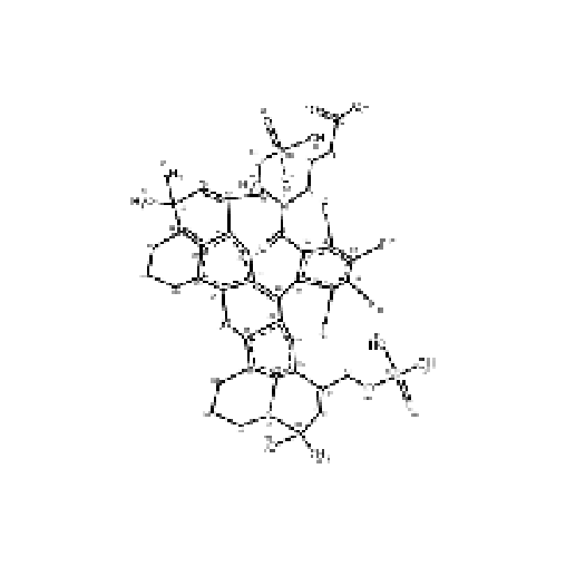 CN(CCCC(=O)O)C(=O)c1c(F)c(F)c(F)c(F)c1C1=c2cc3c4c(c2Oc2c1cc1c5c2CCCN5C(C)(C)C=C1COP(=O)(O)O)CCC[N+]=4C(C)(C)C=C3COP(=O)([O-])O